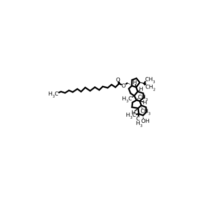 C=C(C)[C@@H]1CC[C@]2(COC(=O)CCCCCCCCCCCCCCC)CC[C@]3(C)[C@H](CC[C@@H]4[C@@]5(C)CC[C@H](O)C(C)(C)[C@@H]5CC[C@]43C)[C@@H]12